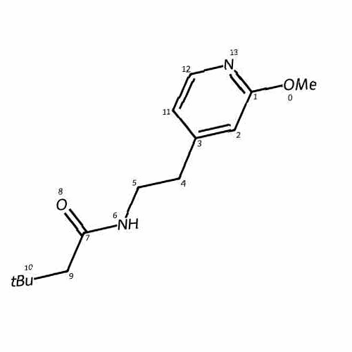 COc1cc(CCNC(=O)CC(C)(C)C)ccn1